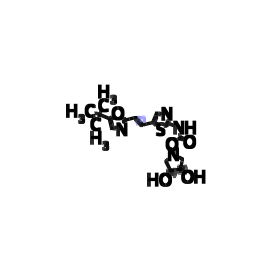 CC(C)(C)c1cnc(/C=C/c2cnc(NC(=O)ON3C[C@@H](O)[C@H](O)C3)s2)o1